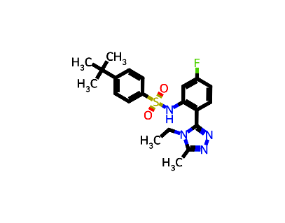 CCn1c(C)nnc1-c1ccc(F)cc1NS(=O)(=O)c1ccc(C(C)(C)C)cc1